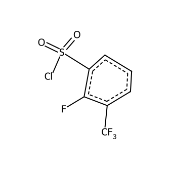 O=S(=O)(Cl)c1cccc(C(F)(F)F)c1F